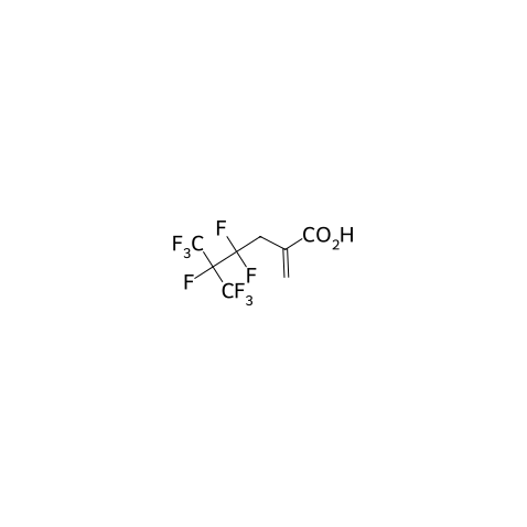 C=C(CC(F)(F)C(F)(C(F)(F)F)C(F)(F)F)C(=O)O